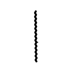 CCCCCCCCCC[CH]CCCCCCCCCCCCCCCC